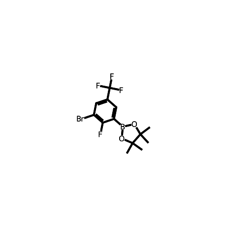 CC1(C)OB(c2cc(C(F)(F)F)cc(Br)c2F)OC1(C)C